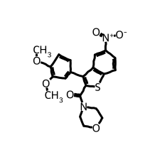 COc1ccc(-c2c(C(=O)N3CCOCC3)sc3ccc([N+](=O)[O-])cc23)cc1OC